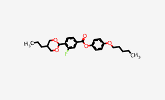 CCCCCOc1ccc(OC(=O)c2ccc(C3OCC(CCC)CO3)c(F)c2)cc1